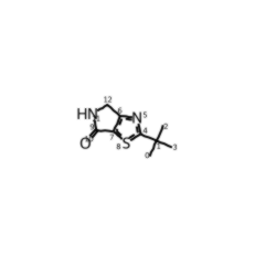 CC(C)(C)c1nc2c(s1)C(=O)NC2